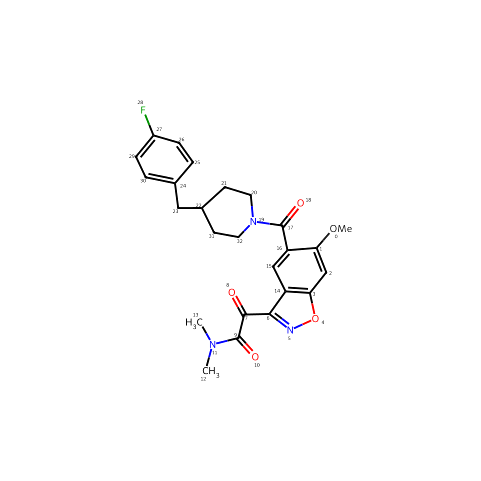 COc1cc2onc(C(=O)C(=O)N(C)C)c2cc1C(=O)N1CCC(Cc2ccc(F)cc2)CC1